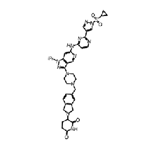 CC(C)n1nc(N2CCN(Cc3ccc4c(c3)CN(C3CCC(=O)NC3=O)C4)CC2)c2cnc(Nc3ccnc(-c4cnn(S(=O)(=O)C5CC5)c4)n3)cc21